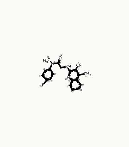 Cc1c(C#N)c(NCC(=O)N(C)c2ccc(F)cc2)nc2ccccc12